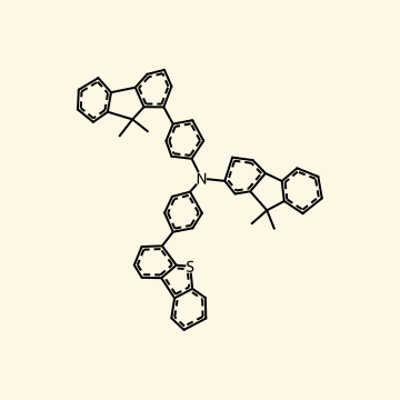 CC1(C)c2ccccc2-c2ccc(N(c3ccc(-c4cccc5c4C(C)(C)c4ccccc4-5)cc3)c3ccc(-c4cccc5c4sc4ccccc45)cc3)cc21